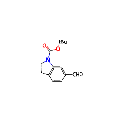 CC(C)(C)OC(=O)N1CCc2ccc(C=O)cc21